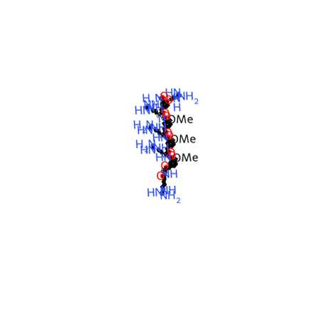 COc1ccc(CC(=O)[C@@H](C)NC(=O)CCCCNC(=N)N)cc1C(=O)N[C@H](CCCNC(=N)N)C(=O)Cc1ccc(OC)c(C(=O)N[C@H](CCCNC(=N)N)C(=O)Cc2ccc(OC)c(C(=O)N[C@H](CCCNC(=N)N)C(=O)Cc3ccc(OCCNC(=N)N)c(C(N)=O)c3)c2)c1